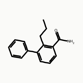 CCCc1c(C(N)=O)cccc1-c1ccccc1